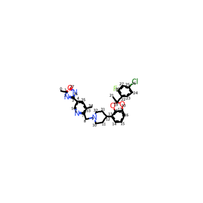 Cc1nc(-c2cnc(CN3CCC(c4cccc5c4OC(C)(c4ccc(Cl)cc4F)O5)CC3)c(C)c2)no1